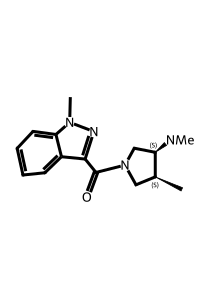 CN[C@@H]1CN(C(=O)c2nn(C)c3ccccc23)C[C@@H]1C